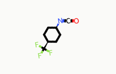 O=C=N[C@H]1CC[C@@H](C(F)(F)F)CC1